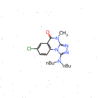 CCCCN(CCCC)c1nnc2n(C)c(=O)c3cc(Cl)ccc3n12